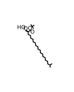 CC(C)CCCCCCCCCCCCCCCCCC(=COO)C(=O)OC(C)(C)C